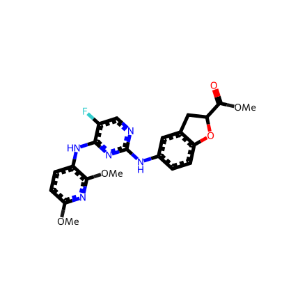 COC(=O)C1Cc2cc(Nc3ncc(F)c(Nc4ccc(OC)nc4OC)n3)ccc2O1